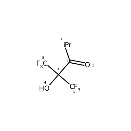 CC(C)C(=O)C(O)(C(F)(F)F)C(F)(F)F